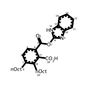 CCCCCCCCc1ccc(C(=O)Oc2nc3ccccc3[nH]2)c(C(=O)O)c1CCCCCCCC